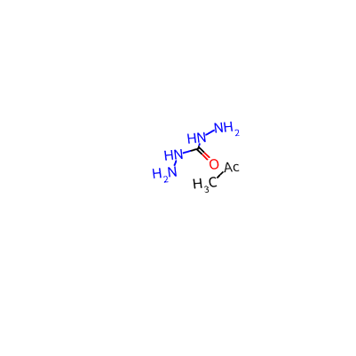 CC(C)=O.NNC(=O)NN